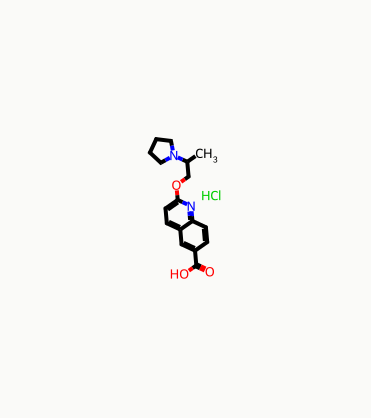 CC(COc1ccc2cc(C(=O)O)ccc2n1)N1CCCC1.Cl